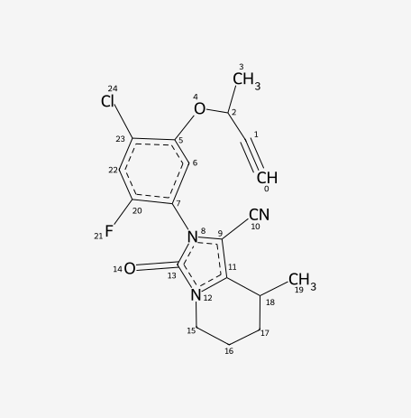 C#CC(C)Oc1cc(-n2c(C#N)c3n(c2=O)CCCC3C)c(F)cc1Cl